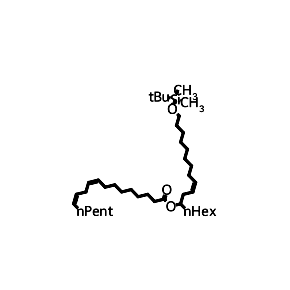 CCCCC/C=C\C/C=C\CCCCCCCC(=O)OC(C/C=C\CCCCCCCCO[Si](C)(C)C(C)(C)C)CCCCCC